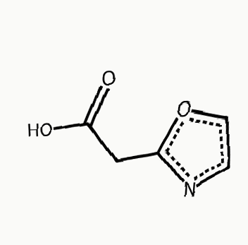 O=C(O)Cc1ncco1